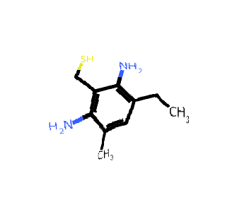 CCc1cc(C)c(N)c(CS)c1N